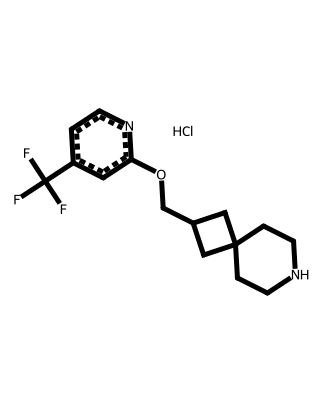 Cl.FC(F)(F)c1ccnc(OCC2CC3(CCNCC3)C2)c1